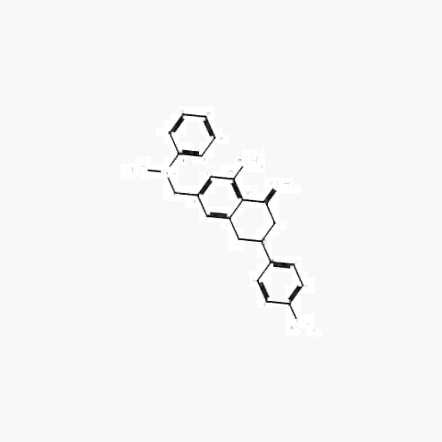 C=C1CC(c2ccc(C)cc2)Cc2cc(CN(C)c3ccccc3)cc(C)c21